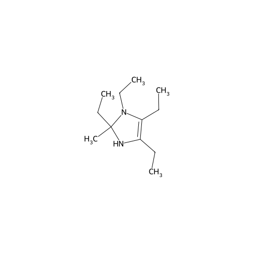 CCC1=C(CC)N(CC)C(C)(CC)N1